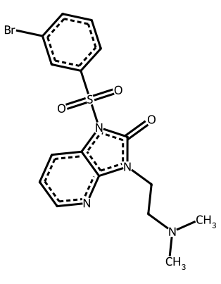 CN(C)CCn1c(=O)n(S(=O)(=O)c2cccc(Br)c2)c2cccnc21